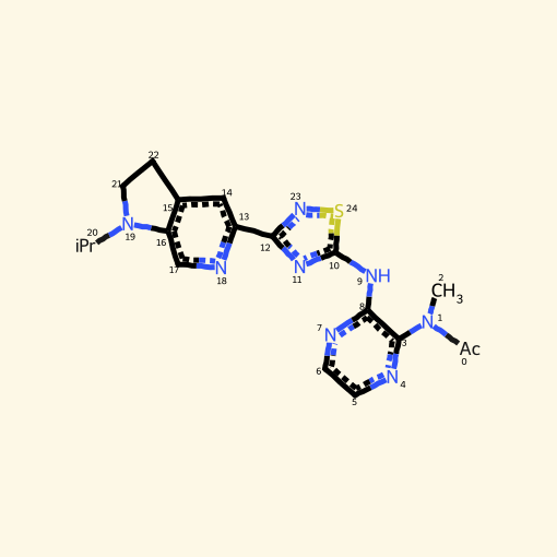 CC(=O)N(C)c1nccnc1Nc1nc(-c2cc3c(cn2)N(C(C)C)CC3)ns1